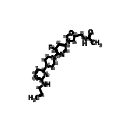 C=CCNc1nccc(N2CCN(c3ncc(N4COC(CNC(C)=O)C4)cc3F)CC2)n1